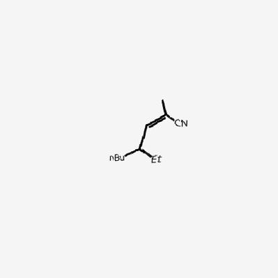 CCCCC(/C=C(/C)C#N)CC